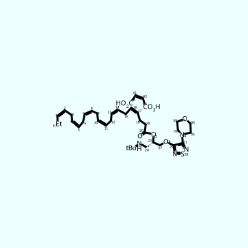 CC/C=C\C/C=C\C/C=C\C/C=C\C/C=C\C/C=C\CCC(=O)O[C@@H](CNC(C)(C)C)COc1nsnc1N1CCOCC1.O=C(O)/C=C\C(=O)O